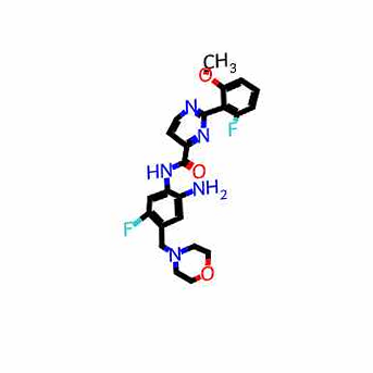 COc1cccc(F)c1-c1nccc(C(=O)Nc2cc(F)c(CN3CCOCC3)cc2N)n1